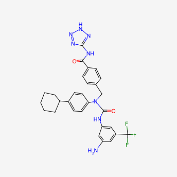 Nc1cc(NC(=O)N(Cc2ccc(C(=O)Nc3nn[nH]n3)cc2)c2ccc(C3CCCCC3)cc2)cc(C(F)(F)F)c1